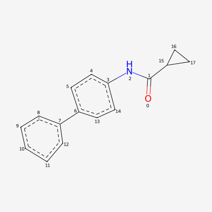 O=C(Nc1ccc(-c2[c]cccc2)cc1)C1CC1